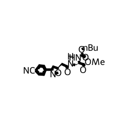 CCCCOC(=O)N[C@@H](CNC(=O)C[C@@H]1CC(c2ccc(C#N)cc2)=NO1)C(=O)OC